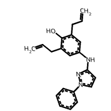 C=CCc1cc(Nc2ccn(-c3ccccc3)n2)cc(CC=C)c1O